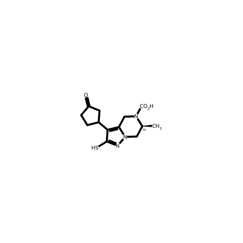 C[C@H]1Cn2nc(S)c(C3CCC(=O)C3)c2CN1C(=O)O